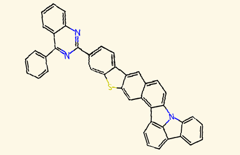 c1ccc(-c2nc(-c3ccc4c(c3)sc3cc5c(ccc6c5c5cccc7c8ccccc8n6c75)cc34)nc3ccccc23)cc1